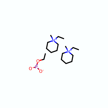 CCOP([O-])[O-].CC[N+]1(C)CCCCC1.CC[N+]1(C)CCCCC1